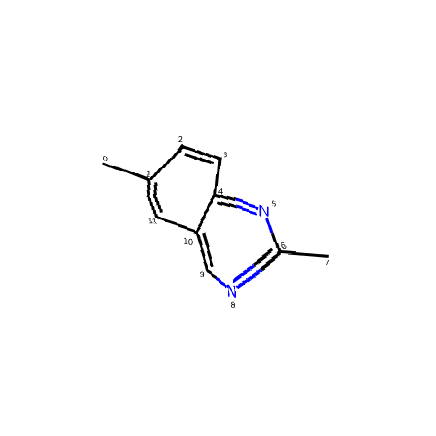 Cc1ccc2nc(C)ncc2c1